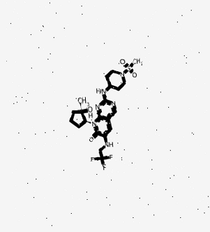 C[C@@]1(O)CCC[C@H]1n1c(=O)c(NCC(F)(F)F)cc2cnc(NC3CCN(S(C)(=O)=O)CC3)nc21